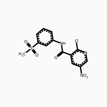 CS(=O)(=O)c1cccc(NC(=O)c2cc([N+](=O)[O-])cnc2Cl)c1